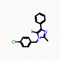 Cc1nc(-c2ccccc2)c(I)n1Cc1ccc(Cl)cc1